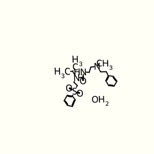 CC(C)N(CCS(=O)(=O)c1ccccc1)C(=O)NCCN(C)CCc1ccccc1.O